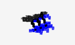 N=C(N)NCCC[C@H](N)C(=O)[O-].N=C(N)NCCC[C@H](N)C(=O)[O-].N=C(N)NCCC[C@H](N)C(=O)[O-].[Al+3]